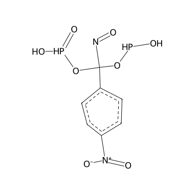 O=NC(OPO)(O[PH](=O)O)c1ccc([N+](=O)[O-])cc1